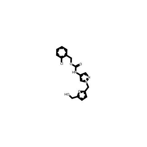 O=C(Nc1cnn(Cc2ccc(CO)o2)c1)OCc1ccccc1Cl